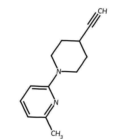 C#CC1CCN(c2cccc(C)n2)CC1